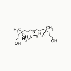 CC(C)(CCCO)CCCN(CCCC(C)(C)CCCO)C(N)=S